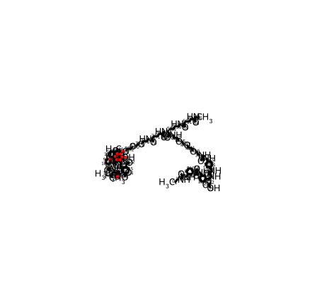 CCCNC(=O)Nc1cccc(S(=O)(=O)Nc2cccc([C@@H](CC(=O)O)NC(=O)Nc3ccc(NC(=O)NCCOCCOCCOCCNC(=O)[C@H](CCCCNC(=O)CCCC(=O)NC)NC(=O)CCCC(=O)NCCOCCOCCOCCC(=O)N[C@@H](CC(=O)O)C(=O)N4CCC[C@H]4C(=O)N[C@H](C(=O)O[C@]4(CC)C(=O)OCc5c4cc4n(c5=O)Cc5c-4nc4ccccc4c5CC)C(C)C)cc3)c2)c1